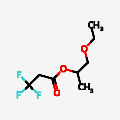 CCOCC(C)OC(=O)CC(F)(F)F